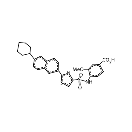 COc1cc(C(=O)O)ccc1NS(=O)(=O)c1csc(-c2ccc3cc(C4CCCCC4)ccc3c2)n1